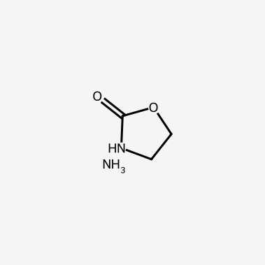 N.O=C1NCCO1